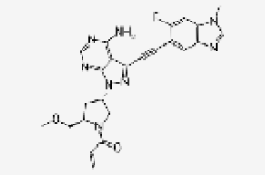 C=CC(=O)N1C[C@@H](n2nc(C#Cc3cc4ncn(C)c4cc3F)c3c(N)ncnc32)C[C@@H]1COC